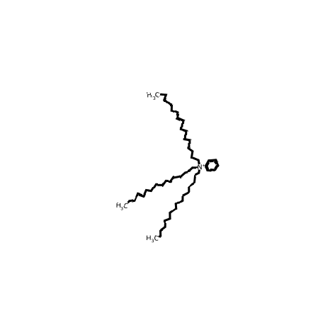 CCCCCCCCCCCCCCCC[N+](CCCCCCCCCCCCCCCC)(CCCCCCCCCCCCCCCC)c1ccccc1